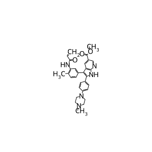 C=CC(=O)Nc1cc(-c2c(-c3ccc(N4CCN(C)CC4)cc3)[nH]c3ncc(C(=O)OC)cc23)ccc1C